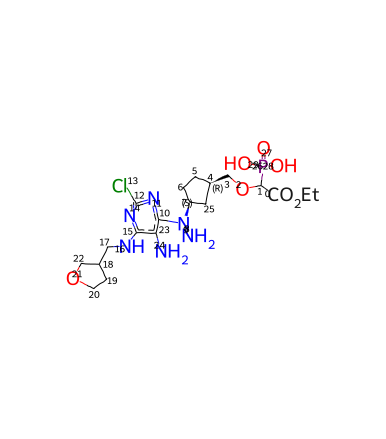 CCOC(=O)C(OC[C@@H]1CC[C@H](N(N)c2nc(Cl)nc(NCC3CCOC3)c2N)C1)P(=O)(O)O